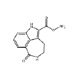 NOC(=O)c1[nH]c2cccc3c2c1CCNC3=O